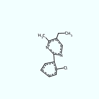 CCc1cnc(-c2ccccc2Cl)nc1C